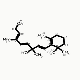 CC(C=CC(C)(O)C=CC1=C(C)CCCC1(C)C)=CCO